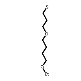 CCOCCCCOCCC[S]